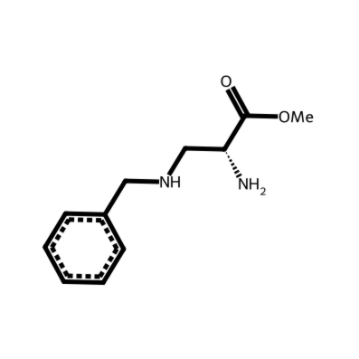 COC(=O)[C@H](N)CNCc1ccccc1